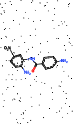 Nc1ccc(C(=O)Nc2cc([N+](=O)[O-])ccc2N)cc1